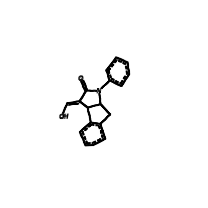 O=C1/C(=C/O)C2c3ccccc3CC2N1c1ccccc1